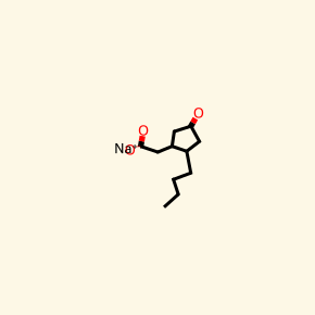 CCCCC1CC(=O)CC1CC(=O)[O-].[Na+]